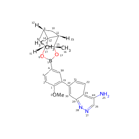 COc1ccc(B2O[C@@H]3C[C@@H]4C[C@@H](C4(C)C)[C@]3(C)O2)cc1-c1ccc2c(N)cnnc2c1